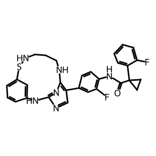 O=C(Nc1ccc(-c2cnc3nc2NCCCNSc2cccc(c2)N3)cc1F)C1(c2ccccc2F)CC1